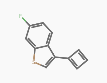 Fc1ccc2c(C3=CC=C3)[c]sc2c1